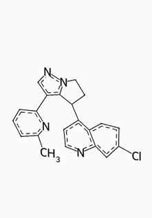 Cc1cccc(-c2cnn3c2C(c2ccnc4cc(Cl)ccc24)CC3)n1